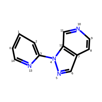 c1ccc(-n2ncc3ccncc32)nc1